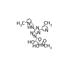 CNC(=O)[C@H]1O[C@@H](n2cnc3c(NCc4cccc(C)n4)nc(-c4cncc(C)c4)nc32)[C@H](O)[C@@H]1O